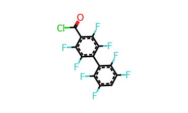 O=C(Cl)c1c(F)c(F)c(-c2c(F)c(F)cc(F)c2F)c(F)c1F